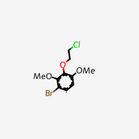 COc1c[c]c(Br)c(OC)c1OCCCl